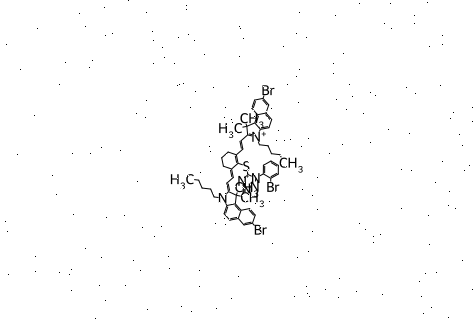 CCCCCN1/C(=C/C=C2\CCCC(/C=C/C3=[N+](CCCCC)c4ccc5cc(Br)ccc5c4C3(C)C)=C2Sc2nnnn2-c2ccccc2Br)C(C)(C)c2c1ccc1cc(Br)ccc21